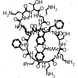 CNC(=O)c1ccccc1Sc1ccc2c(/C=C/c3ccccn3)nn(C(=O)N(C)CCN(C)C(=O)N[C@@H](CCN)C(=O)N[C@H](C(=O)N[C@H](CCN)C(=O)N[C@H]3CCNC(=O)[C@@H]([C@@H](C)O)NC(=O)[C@@H](CCN)NC(=O)[C@@H](CCN)NC(=O)[C@@H](CC(C)C)NC(=O)[C@@H](Cc4ccccc4)NC(=O)[C@@H](CCN)NC3=O)[C@@H](C)O)c2c1